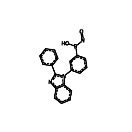 O=NB(O)c1cccc(-n2c(-c3ccccc3)nc3ccccc32)c1